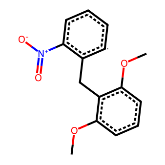 COc1cccc(OC)c1Cc1[c]cccc1[N+](=O)[O-]